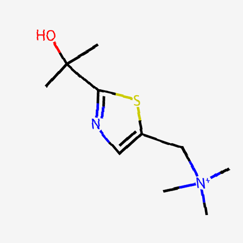 CC(C)(O)c1ncc(C[N+](C)(C)C)s1